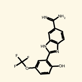 N=C(N)c1ccc2nc(-c3cc(OC(F)(F)F)ccc3O)[nH]c2c1